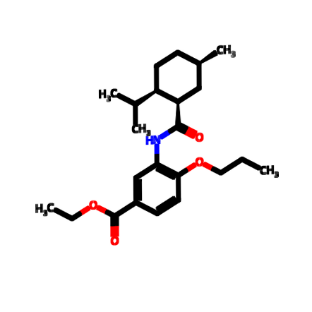 CCCOc1ccc(C(=O)OCC)cc1NC(=O)[C@@H]1C[C@H](C)CC[C@@H]1C(C)C